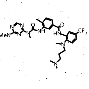 CNc1ncnc(N(C)C(=O)Nc2cc(C(=O)Nc3cc(C(F)(F)F)ccc3N(C)CCCN(C)C)ccc2C)n1